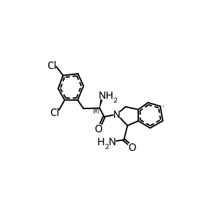 NC(=O)C1c2cc[c]cc2CN1C(=O)[C@H](N)Cc1ccc(Cl)cc1Cl